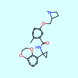 Cc1ccc(OCC2CCN2C)cc1C(=O)NC1(c2cccc3c2OCCO3)CC1